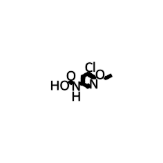 CCOc1ncc(NC(=O)O)cc1Cl